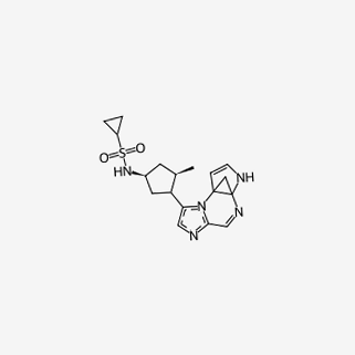 C[C@@H]1C[C@H](NS(=O)(=O)C2CC2)CC1c1cnc2n1C13C=CNC1(C3)N=C2